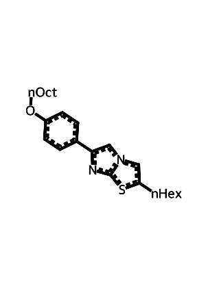 CCCCCCCCOc1ccc(-c2cn3cc(CCCCCC)sc3n2)cc1